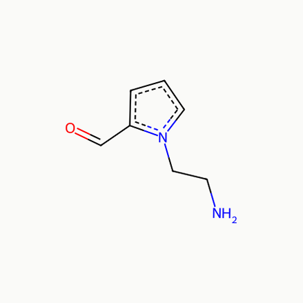 NCCn1cccc1C=O